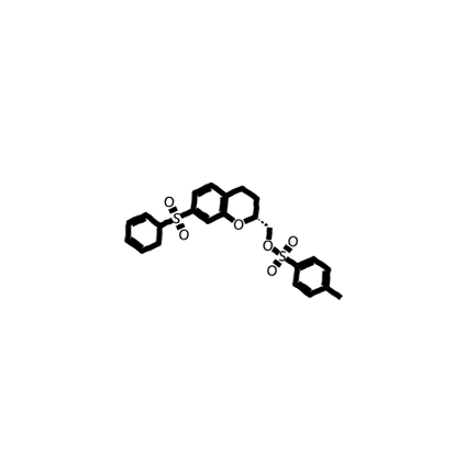 Cc1ccc(S(=O)(=O)OC[C@H]2CCc3ccc(S(=O)(=O)C4C=CC=CC4)cc3O2)cc1